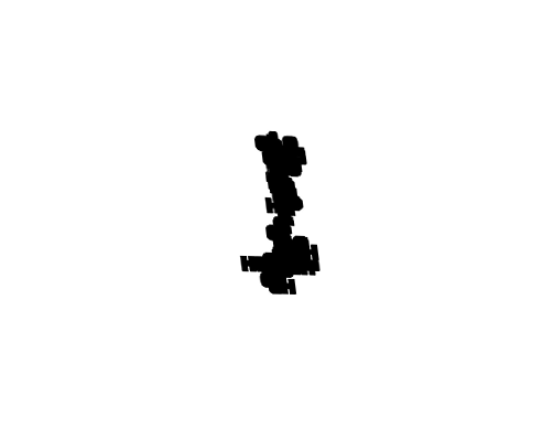 CC(=O)OCC(COC(C)=O)(COC(C)=O)C(=O)OCC1CCC2(CC1)CCC(C(=O)NCCCOCC(=O)OCC(CN(CCN(CC(=O)O)CC(=O)O)CC(=O)O)N(CC(=O)O)CC(=O)O)CC2